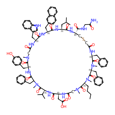 CCCC[C@H]1C(=O)N(C)CC(=O)N[C@@H](CC(=O)O)C(=O)N[C@@H](C(C)C)C(=O)N(C)C(Cc2ccccc2)C(=O)N[C@@H](Cc2ccc(O)cc2)C(=O)N(C)CC(=O)N[C@@H](Cc2c[nH]c3ccccc23)C(=O)N[C@@H](Cc2ccc3ccccc3c2)C(=O)N[C@@H](CC(C)C)C(=O)N[C@H](C(=O)NCC(N)=O)CSCC(=O)N[C@@H](Cc2ccccc2)C(=O)N(C)[C@@H](Cc2ccccc2)C(=O)N1C